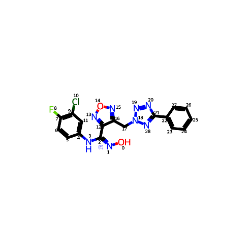 O/N=C(/Nc1ccc(F)c(Cl)c1)c1nonc1Cn1nnc(-c2ccccc2)n1